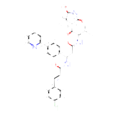 CC(C)[C@H](NC(=O)CC(NC(=O)/C=C/c1ccc(Cl)cc1)c1ccc(-c2ccccn2)cc1)C(=O)[C@@H]1C(=O)NC(=O)[C@H]1C